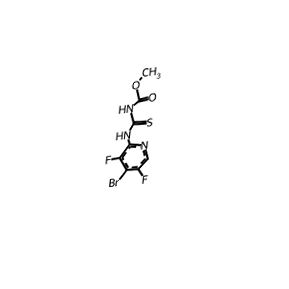 COC(=O)NC(=S)Nc1ncc(F)c(Br)c1F